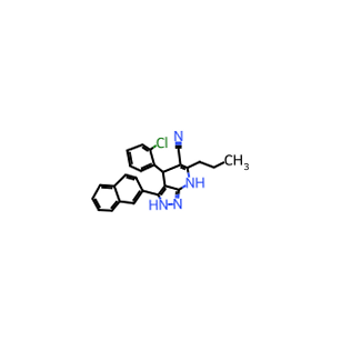 CCCC1=C(C#N)C(c2ccccc2Cl)c2c(n[nH]c2-c2ccc3ccccc3c2)N1